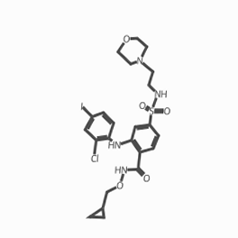 O=C(NOCC1CC1)c1ccc(S(=O)(=O)NCCN2CCOCC2)cc1Nc1ccc(I)cc1Cl